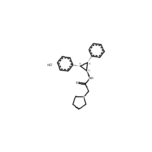 Cl.O=C(CN1CCCC1)N[C@@H]1[C@@H](c2ccccc2)[C@H]1c1ccccc1